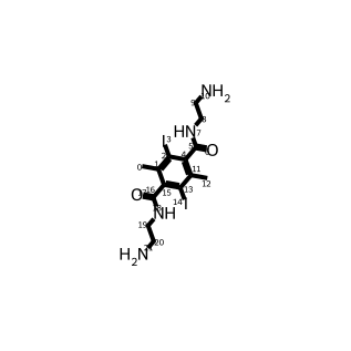 Cc1c(I)c(C(=O)NCCN)c(C)c(I)c1C(=O)NCCN